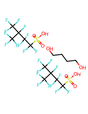 O=S(=O)(O)C(F)(F)C(F)(F)C(F)(C(F)(F)F)C(F)(F)F.O=S(=O)(O)C(F)(F)C(F)(F)C(F)(C(F)(F)F)C(F)(F)F.OCCCCO